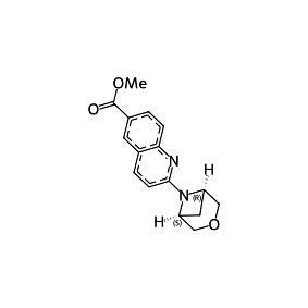 COC(=O)c1ccc2nc(N3[C@@H]4COC[C@H]3C4)ccc2c1